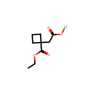 CCOC(=O)C1(CC(=O)OCl)CCC1